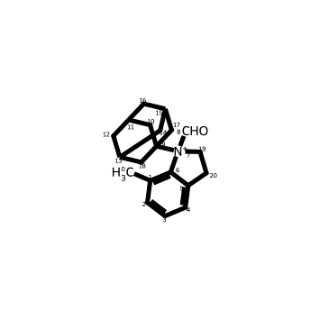 Cc1cccc2c1[N+](C=O)(C13CC4CC(CC(C4)C1)C3)CC2